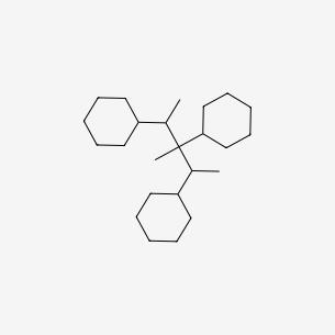 CC(C1CCCCC1)C(C)(C1CCCCC1)C(C)C1CCCCC1